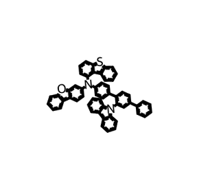 c1ccc(-c2ccc(-c3ccc(N(c4ccc5c(c4)oc4ccccc45)c4cccc5sc6ccccc6c45)cc3)c(-n3c4ccccc4c4ccccc43)c2)cc1